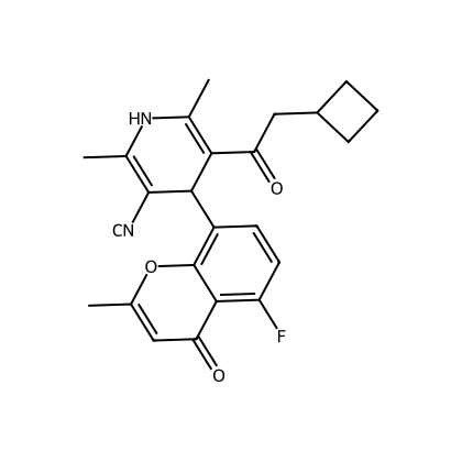 [C-]#[N+]C1=C(C)NC(C)=C(C(=O)CC2CCC2)C1c1ccc(F)c2c(=O)cc(C)oc12